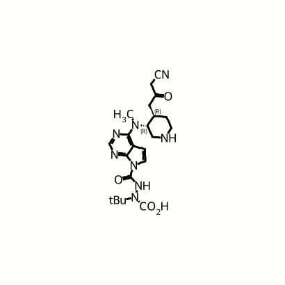 CN(c1ncnc2c1ccn2C(=O)NN(C(=O)O)C(C)(C)C)[C@H]1CNCC[C@@H]1CC(=O)CC#N